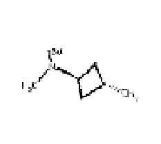 CN([C@H]1C[C@H](C)C1)C(C)(C)C